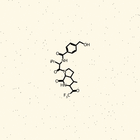 CC(C)C(NC(=O)c1ccc(CO)cc1)C(=O)N1CCC2C(C)C(C(=O)C(F)(F)F)NC(=O)C21